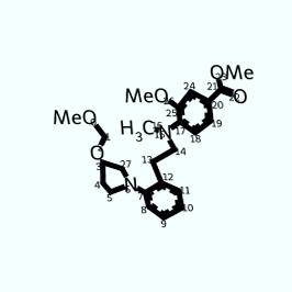 COCO[C@H]1CCN(c2ccccc2CCN(C)c2ccc(C(=O)OC)cc2OC)C1